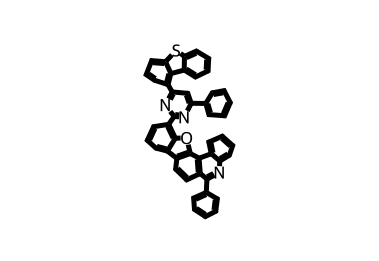 c1ccc(-c2cc(-c3cccc4sc5ccccc5c34)nc(-c3cccc4c3oc3c4ccc4c(-c5ccccc5)nc5ccccc5c43)n2)cc1